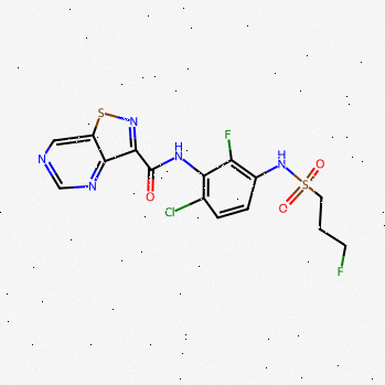 O=C(Nc1c(Cl)ccc(NS(=O)(=O)CCCF)c1F)c1nsc2cncnc12